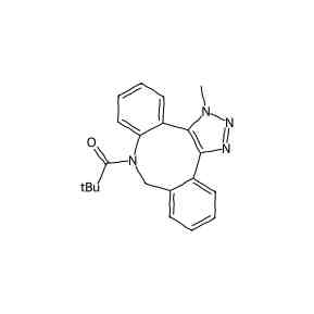 Cn1nnc2c1-c1ccccc1N(C(=O)C(C)(C)C)Cc1ccccc1-2